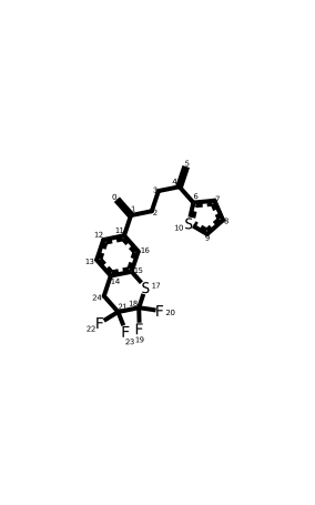 C=C(CCC(=C)c1cccs1)c1ccc2c(c1)SC(F)(F)C(F)(F)C2